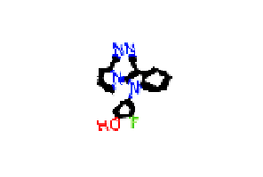 N#Cc1c(-n2cccc2C#N)n(-c2ccc(O)c(F)c2)c2ccccc12